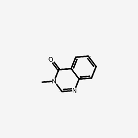 Cn1[c]nc2cc[c]cc2c1=O